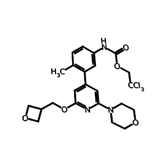 Cc1ccc(NC(=O)OCC(Cl)(Cl)Cl)cc1-c1cc(OCC2COC2)nc(N2CCOCC2)c1